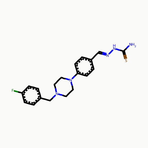 NC(=S)N/N=C/c1ccc(N2CCN(Cc3ccc(F)cc3)CC2)cc1